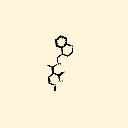 C=N/C=C\C(C(=O)O)=C(/C)NCC1CCSc2ccccc21